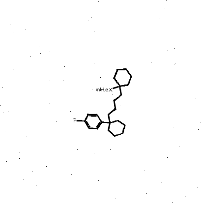 CCCCCCC1(CCCCC2(c3ccc(F)cc3)CCCCC2)CCCCC1